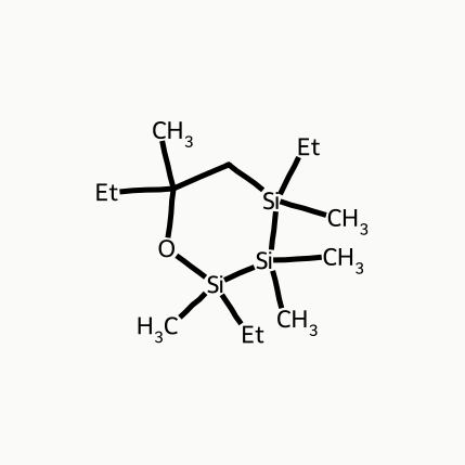 CCC1(C)C[Si](C)(CC)[Si](C)(C)[Si](C)(CC)O1